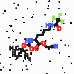 CC(C)(C)OC(=O)N[C@@H](CCCCNC(=O)C(F)(F)F)C(=O)OCC#N